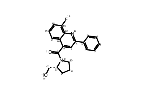 O=C(c1cc(-c2ccccc2)nc2c(F)cccc12)N1CCC[C@@H]1CO